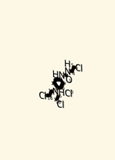 Cl.O=C(NCCCl)Nc1ccc(N(CCCl)CCCl)cc1